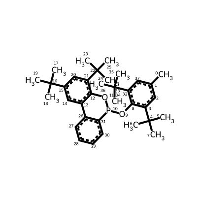 Cc1cc(C(C)(C)C)c(OP2Oc3c(cc(C(C)(C)C)cc3C(C)(C)C)-c3ccccc32)c(C(C)(C)C)c1